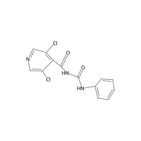 O=C(NC(=O)c1c(Cl)cncc1Cl)Nc1ccccc1